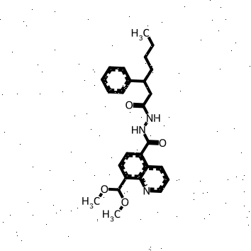 CCCCC(CC(=O)NNC(=O)c1ccc(C(OC)OC)c2ncccc12)c1ccccc1